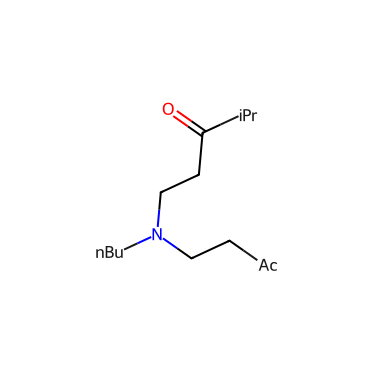 CCCCN(CCC(C)=O)CCC(=O)C(C)C